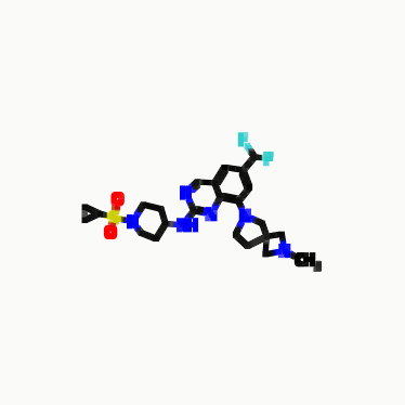 CN1CC2(CCN(c3cc(C(F)F)cc4cnc(NC5CCN(S(=O)(=O)C6CC6)CC5)nc34)C2)C1